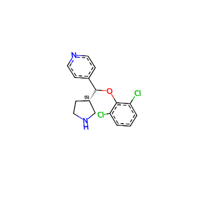 Clc1cccc(Cl)c1OC(c1ccncc1)[C@H]1CCNC1